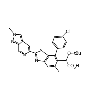 Cc1cc2nc(-c3cc4cn(C)nc4cn3)sc2c(-c2ccc(Cl)cc2)c1[C@H](OC(C)(C)C)C(=O)O